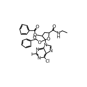 CCNC(=O)C1CC(OC(=O)c2ccccc2)C(OC(=O)c2ccccc2)(n2cnc3c(Cl)nc(I)nc32)O1